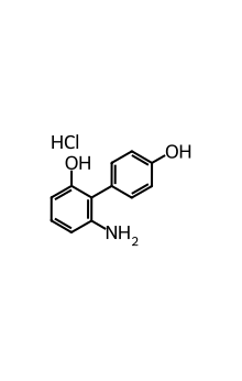 Cl.Nc1cccc(O)c1-c1ccc(O)cc1